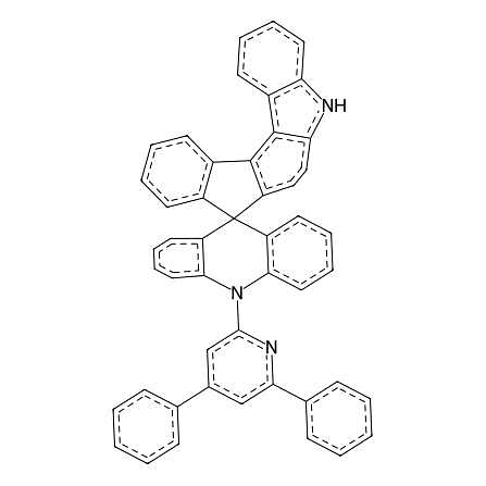 c1ccc(-c2cc(-c3ccccc3)nc(N3c4ccccc4C4(c5ccccc5-c5c4ccc4[nH]c6ccccc6c54)c4ccccc43)c2)cc1